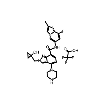 Cc1cn2cc(NC(=O)c3ccc(N4CCNCC4)c4cn(CC5(O)CC5)nc34)cc(F)c2n1.O=C(O)C(F)(F)F